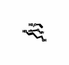 C=CC(=O)O.CCCOCCC.OC=CCCO